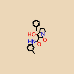 Cc1cccc(NC(=O)C2=C(O)[C@@]3(Cc4ccccc4)CCCN3C2=O)c1